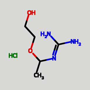 CC(N=C(N)N)OCCO.Cl